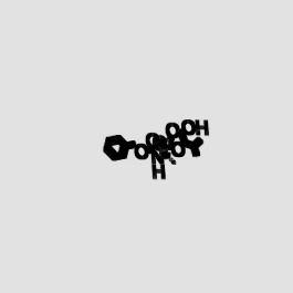 CC(C)C(OP(C)(=O)[C@H](C)NC(=O)OCc1ccccc1)C(=O)O